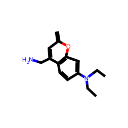 C=C1C=C(CN)c2ccc(N(CC)CC)cc2O1